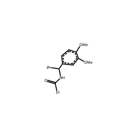 CCC(=O)NC(c1ccc(OC)c(OC)c1)C(C)C